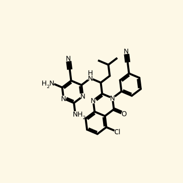 CC(C)CC(Nc1nc(N)nc(N)c1C#N)c1nc2cccc(Cl)c2c(=O)n1-c1cccc(C#N)c1